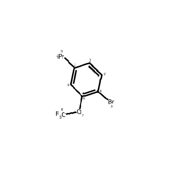 C[C](C)c1ccc(Br)c(OC(F)(F)F)c1